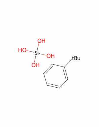 CC(C)(C)c1ccccc1.O[Si](O)(O)O